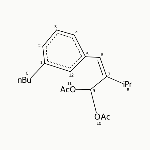 CCCCc1cccc(C=C(C(C)C)C(OC(C)=O)OC(C)=O)c1